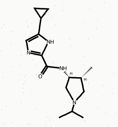 CC(C)N1C[C@@H](C)[C@@H](NC(=O)c2ncc(C3CC3)[nH]2)C1